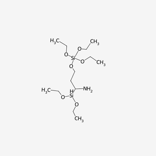 CCO[SiH](OCC)C(N)CCO[Si](OCC)(OCC)OCC